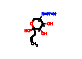 C=CCC1(O)OC[C@H](N=[N+]=[N-])[C@H](O)[C@@H]1O